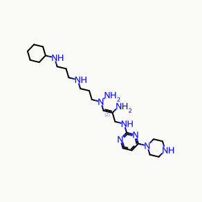 N/C(=C\N(N)CCCNCCCNC1CCCCC1)CNc1nccc(N2CCNCC2)n1